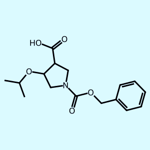 CC(C)OC1CN(C(=O)OCc2ccccc2)CC1C(=O)O